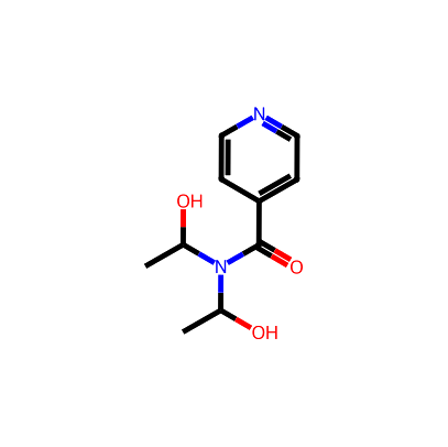 CC(O)N(C(=O)c1ccncc1)C(C)O